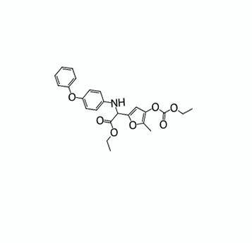 CCOC(=O)Oc1cc(C(Nc2ccc(Oc3ccccc3)cc2)C(=O)OCC)oc1C